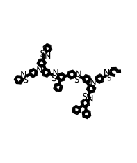 C=C/C=C\c1nc(-c2ccc(-n3c4ccc(-c5nc6ccc(-c7cc(-c8ccccc8)c8sc(-c9ccc%10c(c9)c9cc(-c%11nc%12ccccc%12s%11)ccc9n%10-c9ccc(-c%10nc%11ccccc%11s%10)cc9)nc8c7)cc6s5)cc4c4cc(-c5nc6cc(-c7ccccc7)c(-c7ccccc7)cc6s5)ccc43)cc2)sc1C